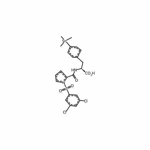 [CH3][Sn]([CH3])([CH3])[c]1ccc(C[C@H](NC(=O)c2cccn2S(=O)(=O)c2cc(Cl)cc(Cl)c2)C(=O)O)cc1